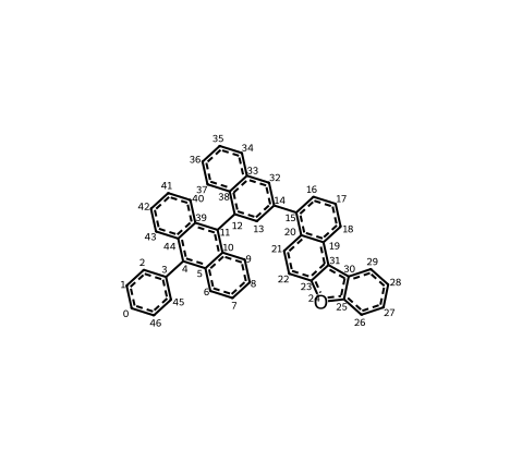 c1ccc(-c2c3ccccc3c(-c3cc(-c4cccc5c4ccc4oc6ccccc6c45)cc4ccccc34)c3ccccc23)cc1